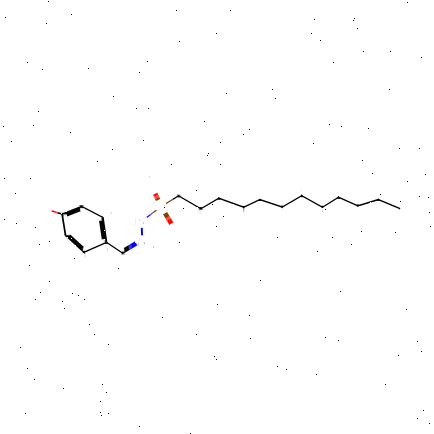 CCCCCCCCCCCCS(=O)(=O)N/N=C\c1ccc(O)cc1